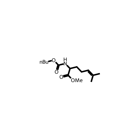 CCCCOC(=O)NC(CCC=C(C)C)C(=O)OC